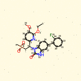 CCOc1nc(C(CS(C)(=O)=O)n2c(=O)[nH]c3cc(-c4ccccc4F)ccc32)ccc1OC